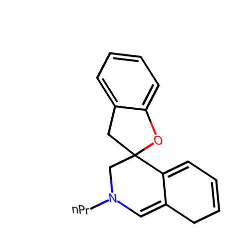 CCCN1C=C2CC=CC=C2C2(Cc3ccccc3O2)C1